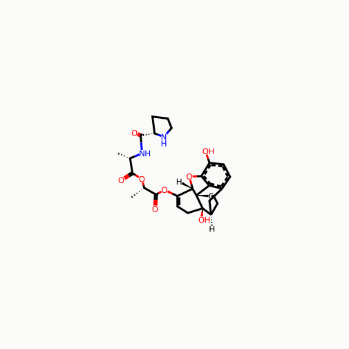 C[C@H](NC(=O)[C@@H]1CCCN1)C(=O)O[C@@H](C)C(=O)OC1=CC[C@@]2(O)[C@@H]3CCC[C@@]24c2c(ccc(O)c2O[C@@H]14)C3